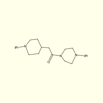 CC(C)N1CCC(CC(=O)N2CCN(C(C)C)CC2)CC1